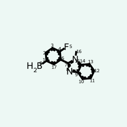 Bc1ccc(F)c(-c2nc3ccccc3n2C)c1